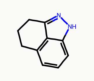 c1cc2c3c(n[nH]c3c1)CCC2